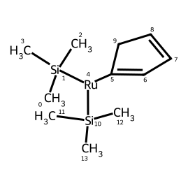 C[Si](C)(C)[Ru]([C]1=CC=CC1)[Si](C)(C)C